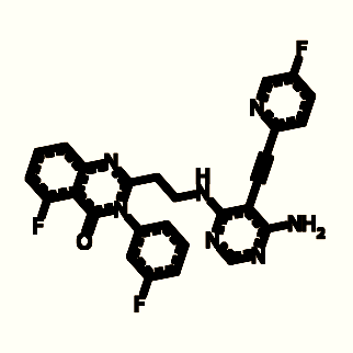 Nc1ncnc(NCCc2nc3cccc(F)c3c(=O)n2-c2cccc(F)c2)c1C#Cc1ccc(F)cn1